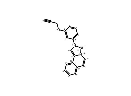 C#CCOc1cccc(N2C=C3c4ccccc4C=CN3N2)c1